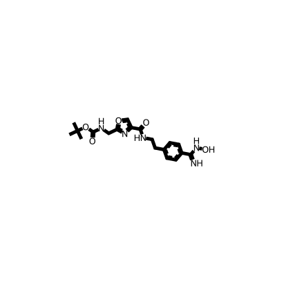 CC(C)(C)OC(=O)NCc1nc(C(=O)NCCc2ccc(C(=N)NO)cc2)co1